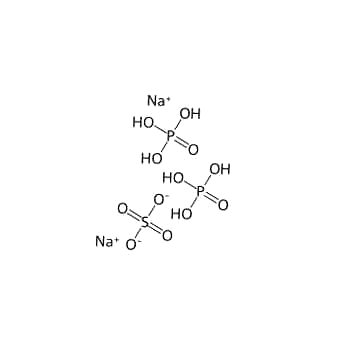 O=P(O)(O)O.O=P(O)(O)O.O=S(=O)([O-])[O-].[Na+].[Na+]